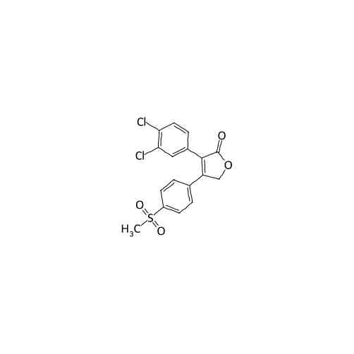 CS(=O)(=O)c1ccc(C2=C(c3ccc(Cl)c(Cl)c3)C(=O)OC2)cc1